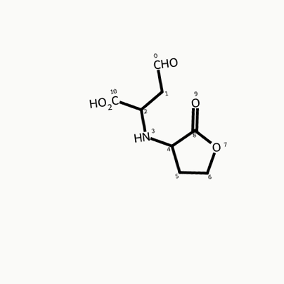 O=CCC(NC1CCOC1=O)C(=O)O